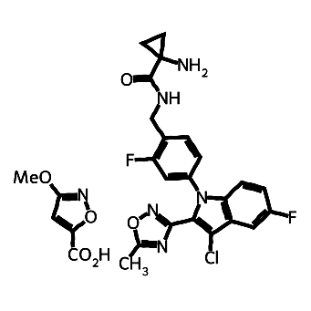 COc1cc(C(=O)O)on1.Cc1nc(-c2c(Cl)c3cc(F)ccc3n2-c2ccc(CNC(=O)C3(N)CC3)c(F)c2)no1